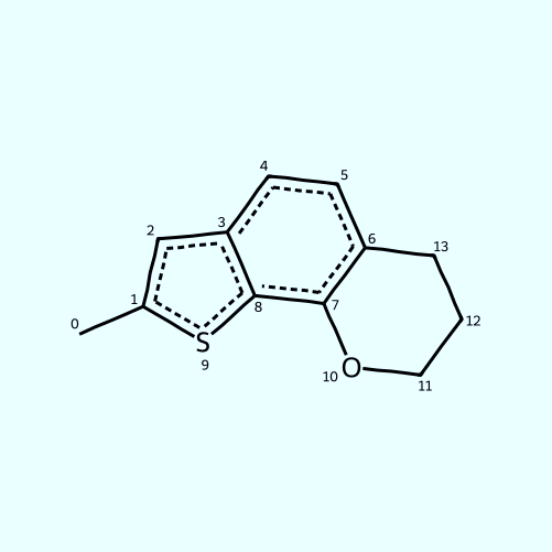 Cc1cc2ccc3c(c2s1)OCCC3